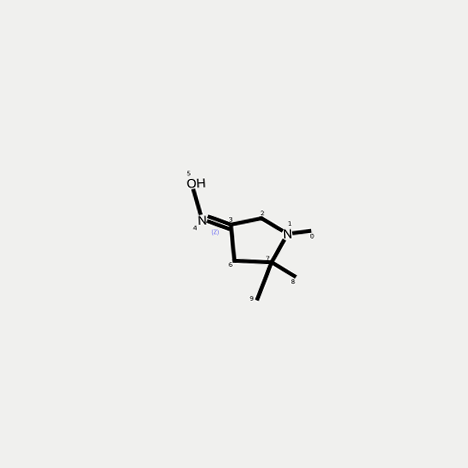 CN1C/C(=N\O)CC1(C)C